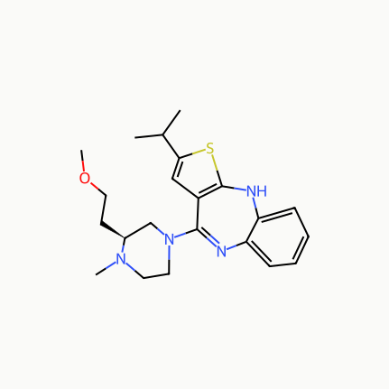 COCC[C@H]1CN(C2=Nc3ccccc3Nc3sc(C(C)C)cc32)CCN1C